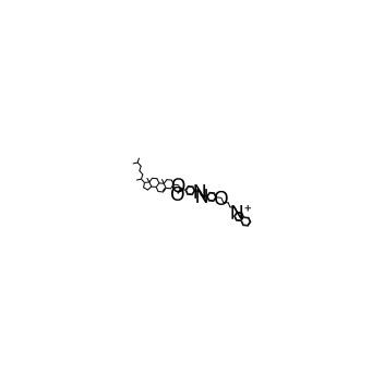 CC(C)CCCC(C)C1CCC2C3CC=C4CC(OC(=O)c5ccc(N=Nc6ccc(OCCCC[n+]7ccc8ccccc8c7)cc6)cc5)CCC4(C)C3CCC12C